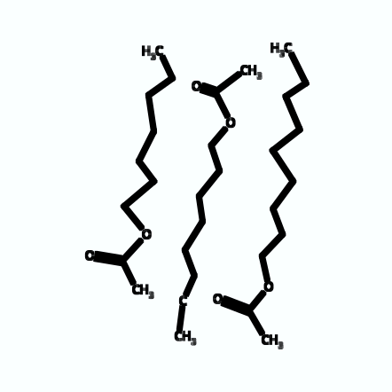 CCCCCCCCCOC(C)=O.CCCCCCCCOC(C)=O.CCCCCCCOC(C)=O